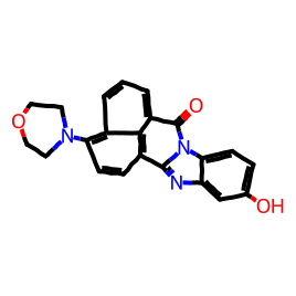 O=c1c2cccc3c(N4CCOCC4)ccc(c32)c2nc3cc(O)ccc3n12